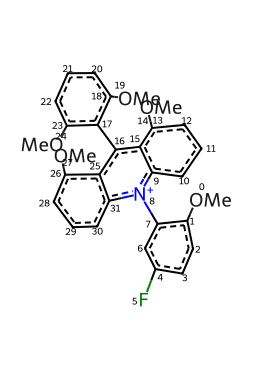 COc1ccc(F)cc1-[n+]1c2cccc(OC)c2c(-c2c(OC)cccc2OC)c2c(OC)cccc21